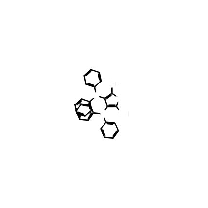 Cc1sc(C)c(P(c2ccccc2)c2ccccc2)c1P(c1ccccc1)c1ccccc1